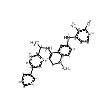 CC(NC1=CCN(C)c2ccc(Nc3ccnc(Cl)c3C#N)cc21)c1ncc(-c2cccnc2)cn1